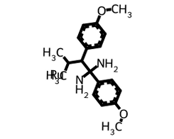 COc1ccc(C(C(C)C)C(N)(N)c2ccc(OC)cc2)cc1.[Ru]